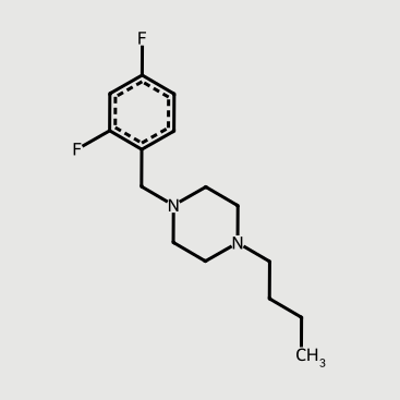 CCCCN1CCN(Cc2ccc(F)cc2F)CC1